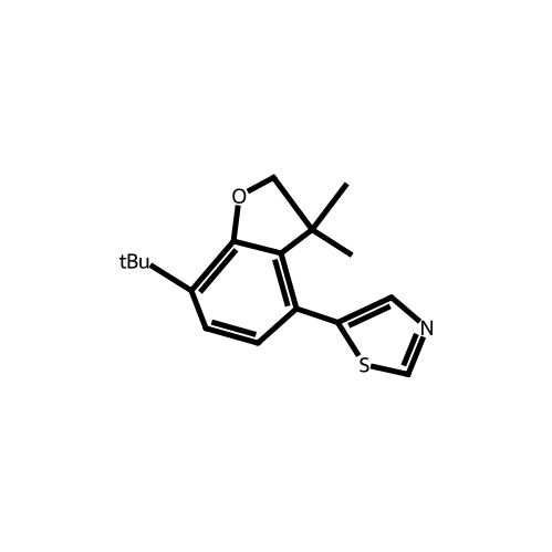 CC(C)(C)c1ccc(-c2cncs2)c2c1OCC2(C)C